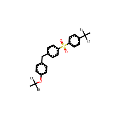 CCC(C)(CC)Oc1ccc(Cc2ccc(S(=O)(=O)c3ccc(C(C)(CC)CC)cc3)cc2)cc1